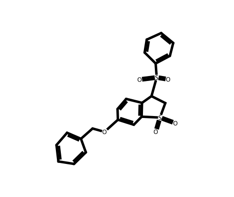 O=S1(=O)CC(S(=O)(=O)c2ccccc2)c2ccc(OCc3ccccc3)cc21